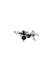 CCOC(=O)[C@H]1C(=O)NC[C@@H]1c1ccc(F)cc1N1CCC(C(=O)OC(C)(C)C)CC1